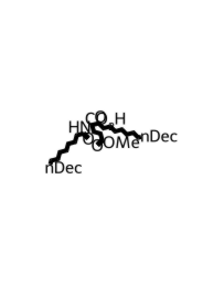 CCCCCCCCCCCCCCCCCC(=O)N[C@@](CCC(=O)OC)(C(=O)O)C(=O)CCCCCCCCCCCCCCCCC